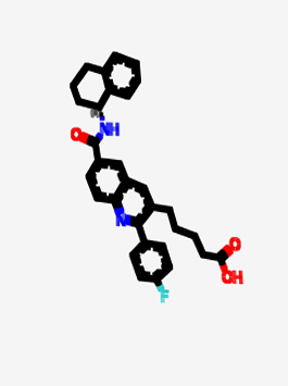 O=C(O)CCCCc1cc2cc(C(=O)N[C@@H]3CCCc4ccccc43)ccc2nc1-c1ccc(F)cc1